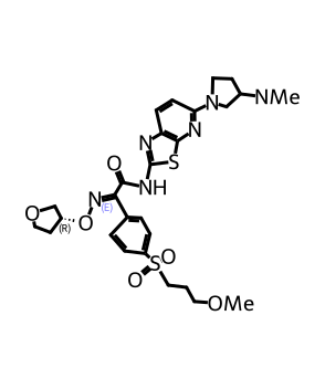 CNC1CCN(c2ccc3nc(NC(=O)/C(=N/O[C@@H]4CCOC4)c4ccc(S(=O)(=O)CCCOC)cc4)sc3n2)C1